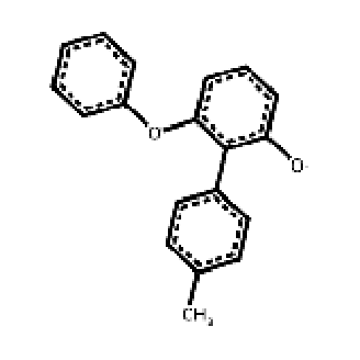 Cc1ccc(-c2c([O])cccc2Oc2ccccc2)cc1